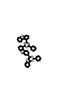 c1ccc(-c2nc(-c3cccc4sc5ccccc5c34)nc(-c3cccc4sc5cc(-c6nc(-c7ccccc7)nc7c6oc6ccccc67)ccc5c34)n2)cc1